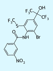 O=C(Nc1c(Br)cc(C(O)(C(F)(F)F)C(F)(F)F)cc1SC(F)(F)F)c1cccc([N+](=O)[O-])c1